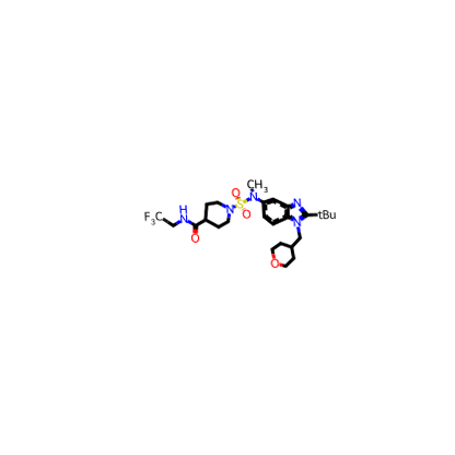 CN(c1ccc2c(c1)nc(C(C)(C)C)n2CC1CCOCC1)S(=O)(=O)N1CCC(C(=O)NCC(F)(F)F)CC1